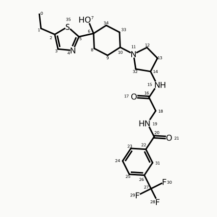 CCc1cnc(C2(O)CCC(N3CCC(NC(=O)CNC(=O)c4cccc(C(F)(F)F)c4)C3)CC2)s1